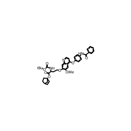 COc1cc2c(Oc3ccc(NC(=O)c4ccccc4)cc3)ccnc2cc1OCCC(NC(=O)OC(C)(C)C)C(=O)OC12CCC(CC1)C2